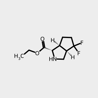 CCOC(=O)[C@H]1NC[C@H]2[C@@H]1CCC2(F)F